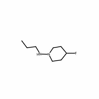 CCCNN1CCC(F)CC1